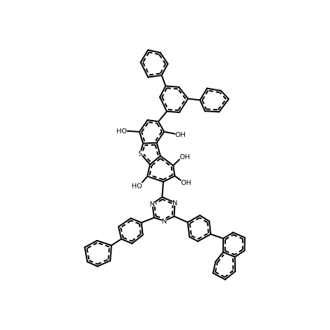 Oc1c(-c2nc(-c3ccc(-c4ccccc4)cc3)nc(-c3ccc(-c4cccc5ccccc45)cc3)n2)c(O)c2sc3c(O)cc(-c4cc(-c5ccccc5)cc(-c5ccccc5)c4)c(O)c3c2c1O